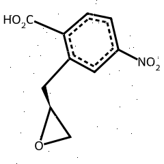 O=C(O)c1ccc([N+](=O)[O-])cc1C[C@H]1CO1